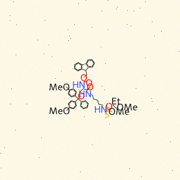 CCC(COC)OP(=S)(NCCCCCNC(=O)C(COC(c1ccccc1)(c1ccc(OC)cc1)c1ccc(OC)cc1)NC(=O)OCC1c2ccccc2-c2ccccc21)OC